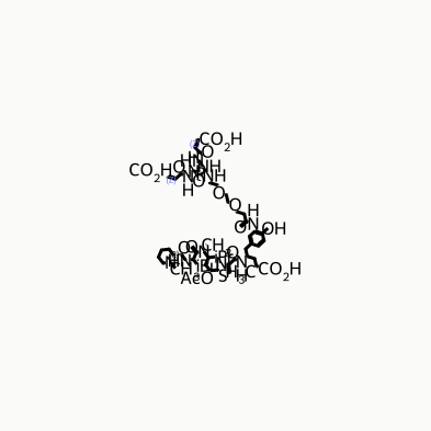 CCC(C)C(NC(=O)[C@H]1CCCCN1C)C(=O)N(C)C(CC(OC(C)=O)c1nc(C(=O)NC(Cc2ccc(O)c(NC(=O)CCOCCOCCNP(=O)(NNC(=O)/C=C\C(=O)O)NNC(=O)/C=C\C(=O)O)c2)CC(C)C(=O)O)cs1)C(C)C